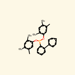 Cc1cc(OP(Oc2cc(C)c(C(C)(C)C)cc2C(C)(C)C)c2ccccc2-c2ccccc2)c(C(C)(C)C)cc1C(C)(C)C